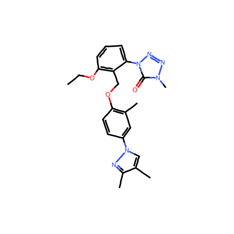 CCOc1cccc(-n2nnn(C)c2=O)c1COc1ccc(-n2cc(C)c(C)n2)cc1C